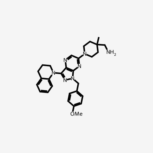 COc1ccc(Cn2nc(N3CCCc4ccccc43)c3ncc(N4CCC(C)(CN)CC4)nc32)cc1